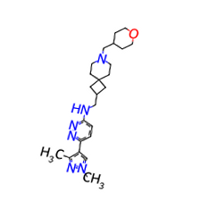 Cc1nn(C)cc1-c1ccc(NCC2CC3(CCN(CC4CCOCC4)CC3)C2)nn1